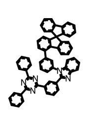 c1ccc(-c2nc(-c3ccccc3)nc(-c3cccc(-c4nc5ccccc5n4-c4cccc(-c5cccc6c5-c5ccccc5C65c6ccccc6-c6ccccc65)c4)c3)n2)cc1